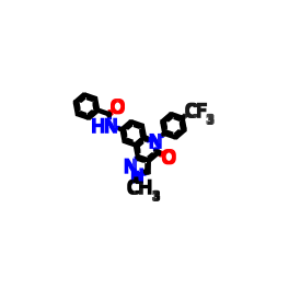 Cn1cc2c(=O)n(-c3ccc(C(F)(F)F)cc3)c3ccc(NC(=O)c4ccccc4)cc3c2n1